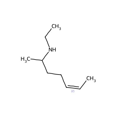 C/C=C\CCC(C)NCC